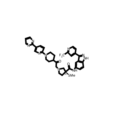 CS[C@@]1(C(=O)Nc2ccc3[nH]nc(-c4ccnc(C(F)(F)F)c4)c3c2)CCN(CC(=O)C2CCN(c3ccc(-c4ncccn4)cn3)CC2)C1